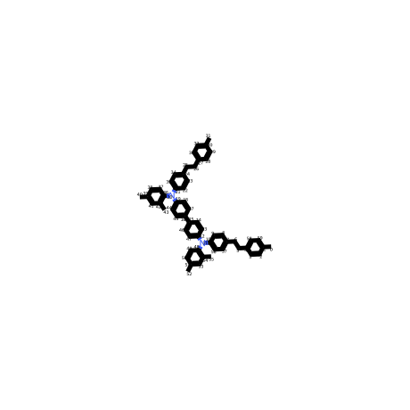 Cc1ccc(CCc2ccc(N(c3ccc(-c4ccc(N(c5ccc(CCc6ccc(C)cc6)cc5)c5ccc(C)cc5C)cc4)cc3)c3ccc(C)cc3C)cc2)cc1